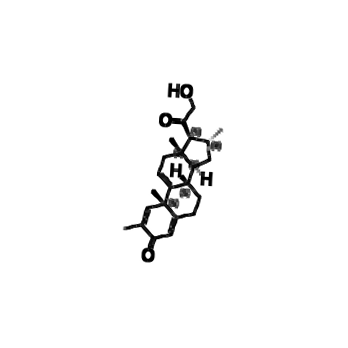 CC1=C[C@@]2(C)C(=CC1=O)CC[C@@H]1C2=CC[C@@]2(C)[C@H]1C[C@@H](C)[C@@H]2C(=O)CO